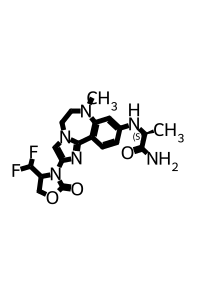 C[C@H](Nc1ccc2c(c1)N(C)CCn1cc(N3C(=O)OCC3C(F)F)nc1-2)C(N)=O